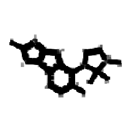 Cc1nc2c(o1)oc1c(N3C=CN(C)C3(C)C)c(C)ccc12